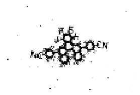 N#Cc1ccc(-c2cc3c4c(F)c(F)c(F)c(F)c4c4cc(-c5ccc(C#N)cc5)c5ccccc5c4c3c3ccccc23)cc1